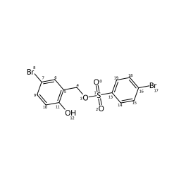 O=S(=O)(OCc1cc(Br)ccc1O)c1ccc(Br)cc1